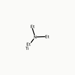 [CH2]CN(CC)CC.[Ti]